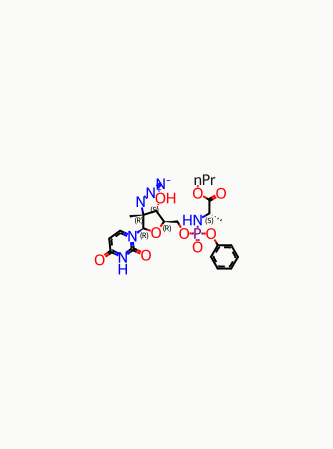 CCCOC(=O)[C@H](C)NP(=O)(OC[C@H]1O[C@@H](n2ccc(=O)[nH]c2=O)[C@](C)(N=[N+]=[N-])[C@@H]1O)Oc1ccccc1